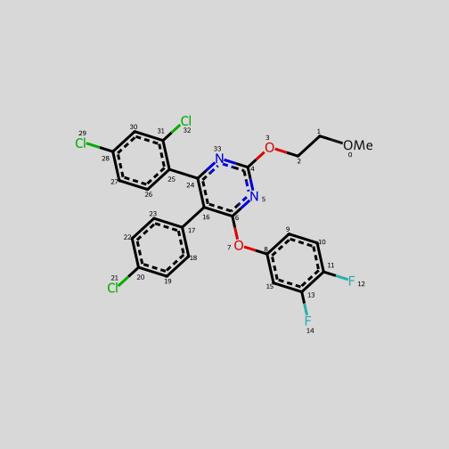 COCCOc1nc(Oc2ccc(F)c(F)c2)c(-c2ccc(Cl)cc2)c(-c2ccc(Cl)cc2Cl)n1